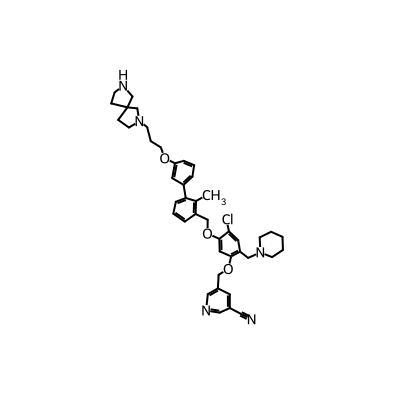 Cc1c(COc2cc(OCc3cncc(C#N)c3)c(CN3CCCCC3)cc2Cl)cccc1-c1cccc(OCCCN2CCC3(CCNC3)C2)c1